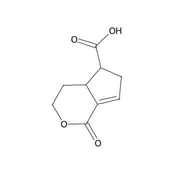 O=C1OCCC2C1=CCC2C(=O)O